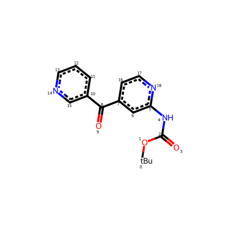 CC(C)(C)OC(=O)Nc1cc(C(=O)c2cccnc2)ccn1